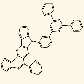 c1ccc(-c2cc(-c3ccccc3)nc(-c3cccc(-n4c5ccccc5c5cc6c(cc54)c(-c4ccccc4)nc4ccccc46)c3)c2)cc1